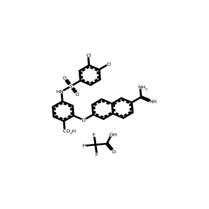 N=C(N)c1ccc2cc(Oc3cc(NS(=O)(=O)c4ccc(Cl)c(Cl)c4)ccc3C(=O)O)ccc2c1.O=C(O)C(F)(F)F